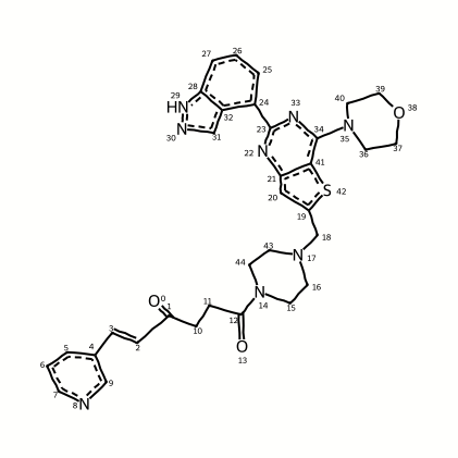 O=C(C=Cc1cccnc1)CCC(=O)N1CCN(Cc2cc3nc(-c4cccc5[nH]ncc45)nc(N4CCOCC4)c3s2)CC1